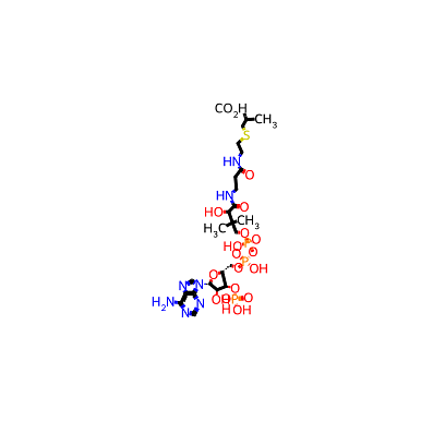 CC(CSCCNC(=O)CCNC(=O)C(O)C(C)(C)COP(=O)(O)OP(=O)(O)OC[C@H]1O[C@@H](n2cnc3c(N)ncnc32)[C@H](O)[C@@H]1OP(=O)(O)O)C(=O)O